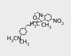 CN(C)c1ccc(C=CC=CC23OCCN2c2ccc([N+](=O)[O-])cc2C3(C)C)cc1